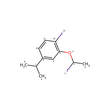 CC(I)Oc1cc(C(C)C)ccc1I